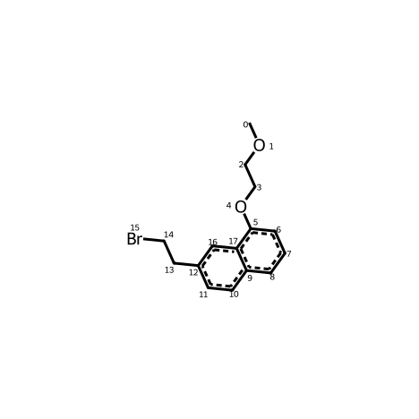 COCCOc1cccc2ccc(CCBr)cc12